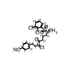 CCN(CCc1ccc(C#N)cc1)C(=O)CCCN(C)S(=O)(=O)c1cccc(Cl)c1Cl